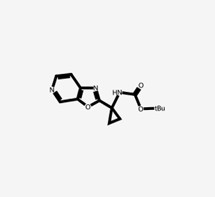 CC(C)(C)OC(=O)NC1(c2nc3ccncc3o2)CC1